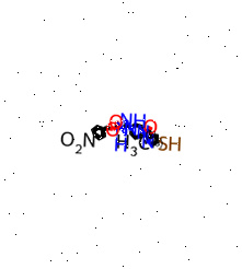 CN1C[C@@H](S)C[C@H]1C(=O)N1CCCN(C(=N)NC(=O)OCc2ccc([N+](=O)[O-])cc2)CC1